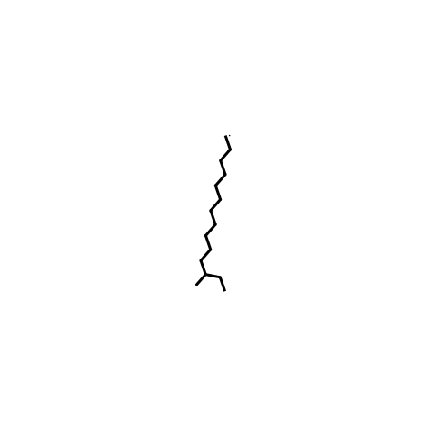 [CH2]CCCCCCCCCCC(C)CC